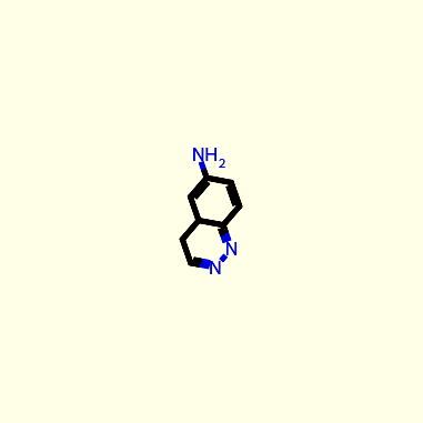 NC1=CC2CC=NN=C2C=C1